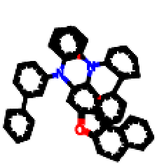 c1ccc(-c2cccc(N(c3ccccc3)c3cc4oc5ccc6ccccc6c5c4cc3N(c3ccccc3)c3ccccc3-c3ccccc3)c2)cc1